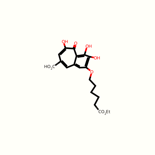 CCOC(=O)CCCCCOc1cc2cc(C(=O)O)cc(O)c(=O)c2c(O)c1O